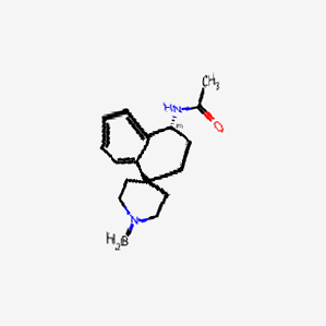 BN1CCC2(CC[C@@H](NC(C)=O)c3ccccc32)CC1